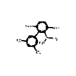 COc1ccc(OC)c(P(N)N)c1-c1cc(C(F)(F)F)cc(C(F)(F)F)c1